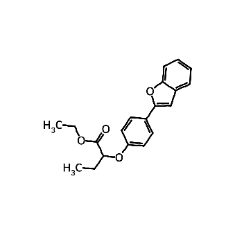 CCOC(=O)C(CC)Oc1ccc(-c2cc3ccccc3o2)cc1